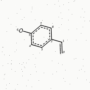 C=Cc1ccc([O])cc1